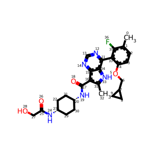 Cc1ccc(OCC2CC2)c(-c2ncnc3c(C(=O)N[C@H]4CC[C@@H](NC(=O)CO)CC4)c(C)[nH]c23)c1F